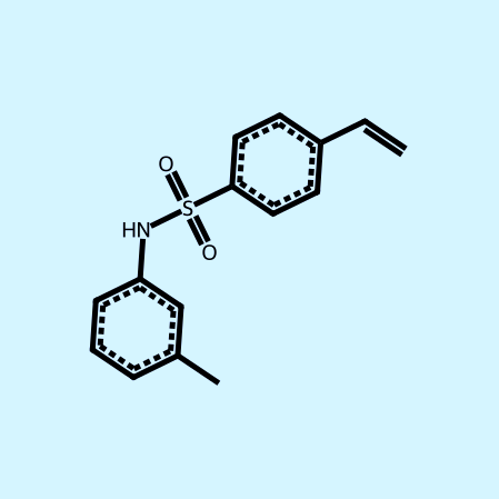 C=Cc1ccc(S(=O)(=O)Nc2cccc(C)c2)cc1